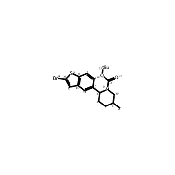 CC1CCC(c2ccc3sc(Br)cc3c2)N(C(=O)OC(C)(C)C)C1